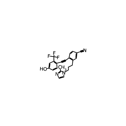 Cc1nccn1CCCc1cc(C#N)ccc1C#Cc1ccc(O)cc1C(F)(F)F